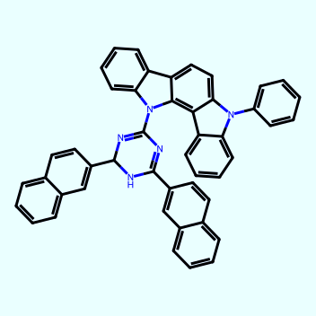 c1ccc(-n2c3ccccc3c3c4c(ccc32)c2ccccc2n4C2=NC(c3ccc4ccccc4c3)NC(c3ccc4ccccc4c3)=N2)cc1